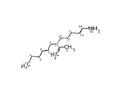 C=CC.CCCCCCCCCCCCN